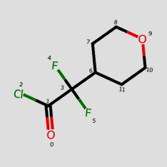 O=C(Cl)C(F)(F)C1CCOCC1